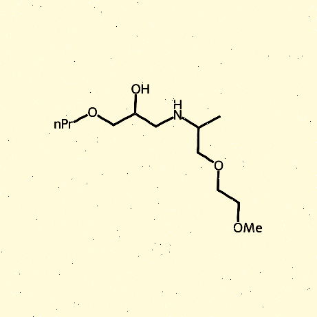 CCCOCC(O)CNC(C)COCCOC